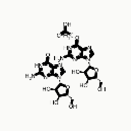 CC(=O)O.Nc1nc2c(ncn2[C@@H]2O[C@H](CO)[C@@H](O)[C@H]2O)c(=O)[nH]1.Nc1nc2c(ncn2[C@@H]2O[C@H](CO)[C@@H](O)[C@H]2O)c(=O)[nH]1